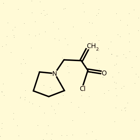 C=C(CN1CCCC1)C(=O)Cl